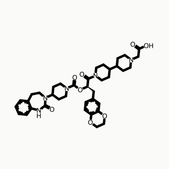 O=C(O)CN1CCC(C2CCN(C(=O)[C@@H](Cc3ccc4c(c3)OCCO4)OC(=O)N3CCC(N4CCc5ccccc5NC4=O)CC3)CC2)CC1